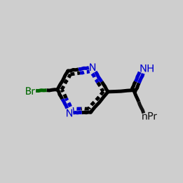 CCCC(=N)c1cnc(Br)cn1